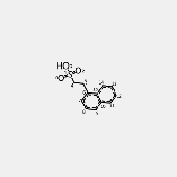 O=S(=O)(O)C[CH]c1cccc2ccccc12